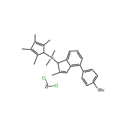 CC1=Cc2c(-c3ccc(C(C)(C)C)cc3)cccc2C1[Si](C)(C)C1C(C)=C(C)C(C)=C1C.[Cl][Zr][Cl]